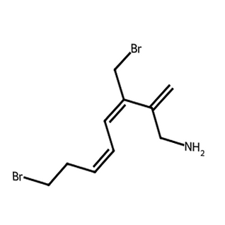 C=C(CN)/C(=C\C=C/CCBr)CBr